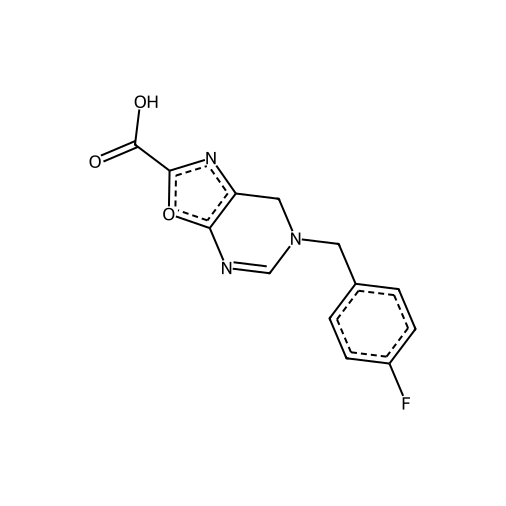 O=C(O)c1nc2c(o1)N=CN(Cc1ccc(F)cc1)C2